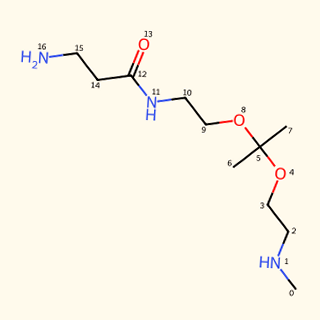 CNCCOC(C)(C)OCCNC(=O)CCN